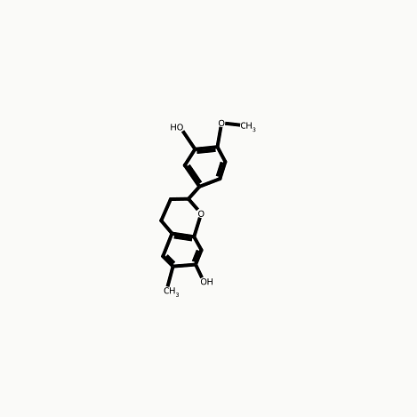 COc1ccc(C2CCc3cc(C)c(O)cc3O2)cc1O